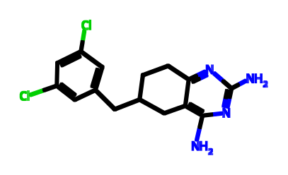 Nc1nc(N)c2c(n1)CCC(Cc1cc(Cl)cc(Cl)c1)C2